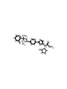 CC(C)(CNc1ccc(-c2ncc(C(C(N)=O)[C@@H]3CCCN3)s2)nn1)c1ncccc1F